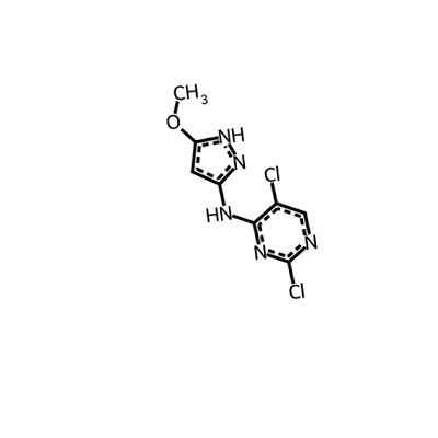 COc1cc(Nc2nc(Cl)ncc2Cl)n[nH]1